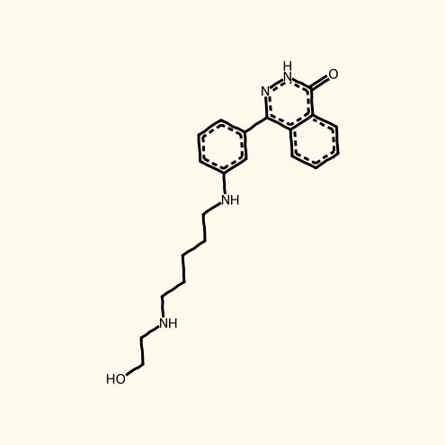 O=c1[nH]nc(-c2cccc(NCCCCCNCCO)c2)c2ccccc12